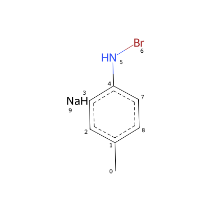 Cc1ccc(NBr)cc1.[NaH]